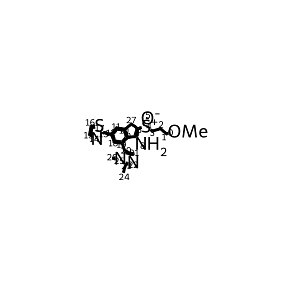 COCCC[S+]([O-])C1=C(N)c2c(cc(-c3nccs3)cc2-c2cnc(C)n2C)C1